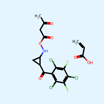 C=CC(=O)O.CC(=O)CC(=O)ONC1CC1C(=O)c1c(Cl)c(F)c(Cl)c(F)c1Cl